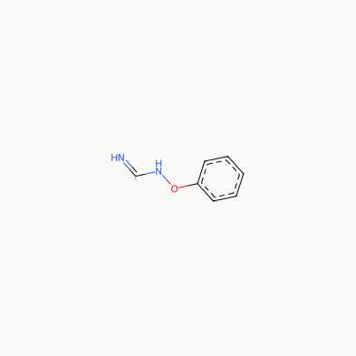 N=[C]NOc1ccccc1